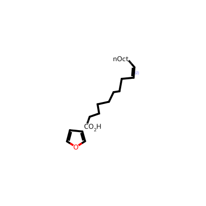 CCCCCCCC/C=C\CCCCCCCC(=O)O.c1ccoc1